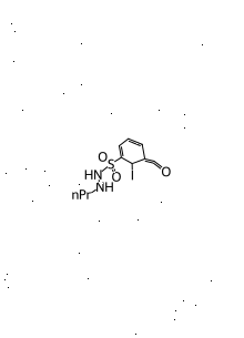 CCCNNS(=O)(=O)C1=CC=CC(=C=O)C1I